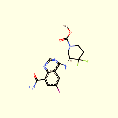 CC(C)(C)OC(=O)N1CCC(F)(F)[C@H](Nc2ncnc3c(C(N)=O)cc(I)cc23)C1